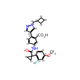 O=C(O)c1cc(NC(=O)C2(c3ccc(OC(F)(F)F)cc3F)CC2)ccc1-c1cnn(CC2CCC2)c1